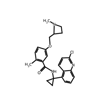 Cc1ccc(OCC2CCN2C)cc1C(=O)NC1(c2cccc3nc(Cl)ccc23)CC1